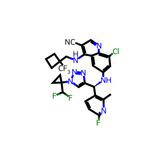 Cc1nc(F)ccc1[C@H](Nc1cc(Cl)c2ncc(C#N)c(NCC3(C(F)(F)F)CCC3)c2c1)c1cn(C2(C(F)F)CC2)nn1